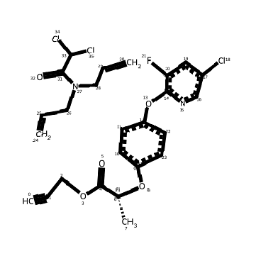 C#CCOC(=O)[C@@H](C)Oc1ccc(Oc2ncc(Cl)cc2F)cc1.C=CCN(CC=C)C(=O)C(Cl)Cl